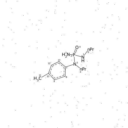 CCCNP(N)(=O)N(CCC)c1ccc(C)cc1